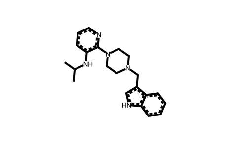 CC(C)Nc1cccnc1N1CCN(Cc2c[nH]c3ccccc23)CC1